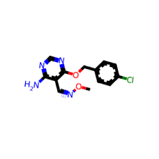 CO/N=C\c1c(N)ncnc1OCc1ccc(Cl)cc1